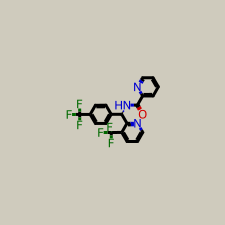 O=C(N[C@@H](c1ccc(C(F)(F)F)cc1)c1ncccc1C(F)(F)F)c1ccccn1